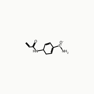 C=CC(=O)NC1C=CC([S+](N)[O-])=CC1